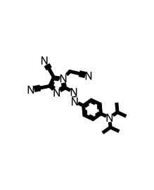 CC(C)N(c1ccc(/N=N/c2nc(C#N)c(C#N)n2CC#N)cc1)C(C)C